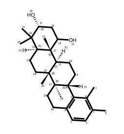 Cc1ccc2c(c1C)[C@H]1CC[C@@H]3[C@@]4(C)C(O)C[C@@H](O)C(C)(C)[C@@H]4CC[C@@]3(C)[C@]1(C)CC2